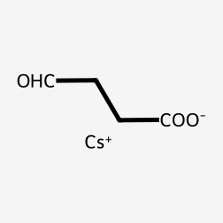 O=CCCC(=O)[O-].[Cs+]